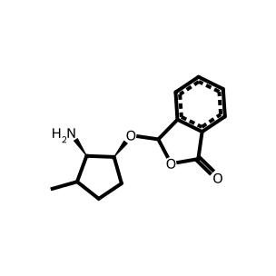 CC1CC[C@H](OC2OC(=O)c3ccccc32)[C@@H]1N